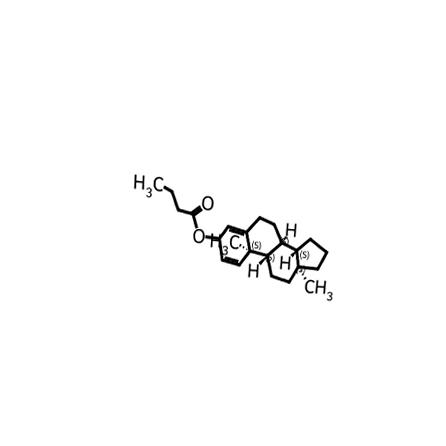 CCCC(=O)OC1C=C[C@@]2(C)C(=C1)CC[C@H]1[C@@H]3CCC[C@@]3(C)CC[C@@H]12